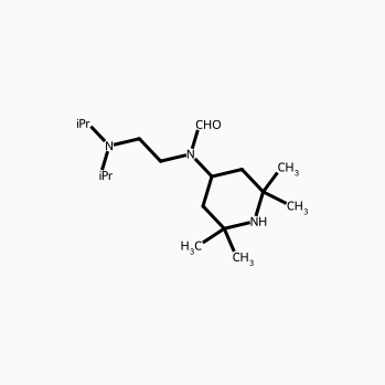 CC(C)N(CCN(C=O)C1CC(C)(C)NC(C)(C)C1)C(C)C